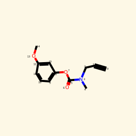 C#CCN(C)C(=O)Oc1cccc(OC)c1